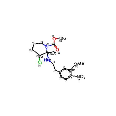 CCC1(NCCc2ccc([N+](=O)[O-])c(OC)c2)[C@@H](Cl)CCCN1C(=O)OC(C)(C)C